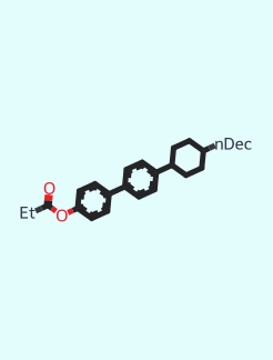 CCCCCCCCCCC1CCC(c2ccc(-c3ccc(OC(=O)CC)cc3)cc2)CC1